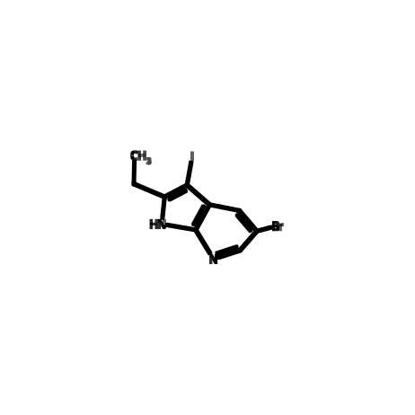 CCc1[nH]c2ncc(Br)cc2c1I